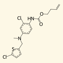 C=CCCOC(=O)Nc1ccc(N(C)Cc2ccc(Cl)s2)cc1Cl